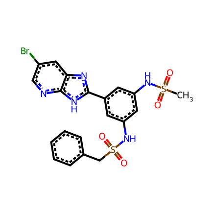 CS(=O)(=O)Nc1cc(NS(=O)(=O)Cc2ccccc2)cc(-c2nc3cc(Br)cnc3[nH]2)c1